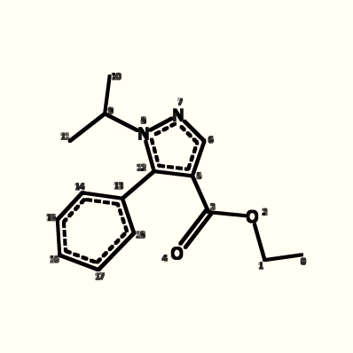 CCOC(=O)c1cnn(C(C)C)c1-c1ccccc1